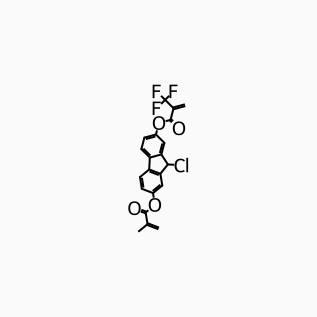 C=C(C)C(=O)Oc1ccc2c(c1)C(Cl)c1cc(OC(=O)C(=C)C(F)(F)F)ccc1-2